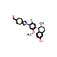 COc1cc(N2CC3(CCC(C=O)CC3)C2)c(F)cc1[C@H]1c2ccc(O)cc2CC[C@H]1C